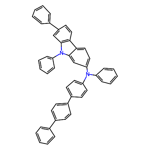 c1ccc(-c2ccc(-c3ccc(N(c4ccccc4)c4ccc5c6ccc(-c7ccccc7)cc6n(-c6ccccc6)c5c4)cc3)cc2)cc1